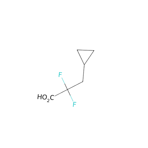 O=C(O)C(F)(F)CC1CC1